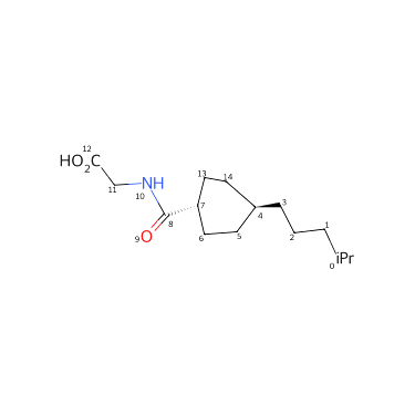 CC(C)CCC[C@H]1CC[C@H](C(=O)NCC(=O)O)CC1